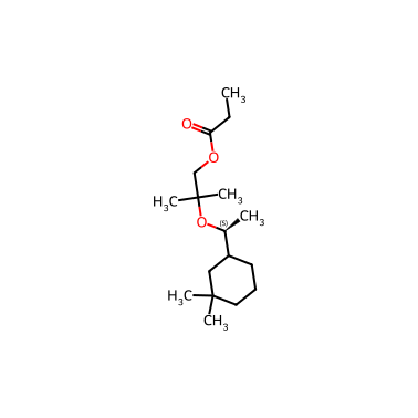 CCC(=O)OCC(C)(C)O[C@@H](C)C1CCCC(C)(C)C1